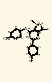 Cc1nn(C)c2c(Nc3ccc(Cl)nc3)nc(-c3ccc(F)cc3)nc12